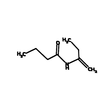 C=C(CC)NC(=O)CCC